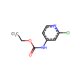 O=C(Nc1ccnc(Cl)c1)OCC(Cl)(Cl)Cl